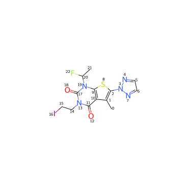 Cc1c(-n2nccn2)sc2c1c(=O)n(CCI)c(=O)n2C(C)F